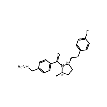 CC(=O)NCc1ccc(C(=O)N2[C@@H](CCc3ccc(F)cc3)CC[C@H]2C)cc1